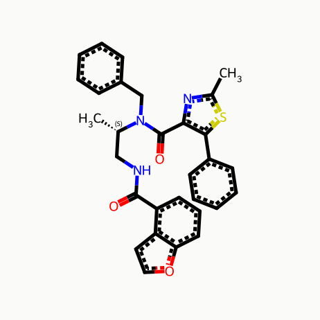 Cc1nc(C(=O)N(Cc2ccccc2)[C@@H](C)CNC(=O)c2cccc3occc23)c(-c2ccccc2)s1